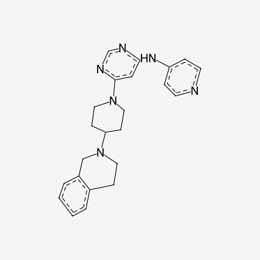 c1ccc2c(c1)CCN(C1CCN(c3cc(Nc4ccncc4)ncn3)CC1)C2